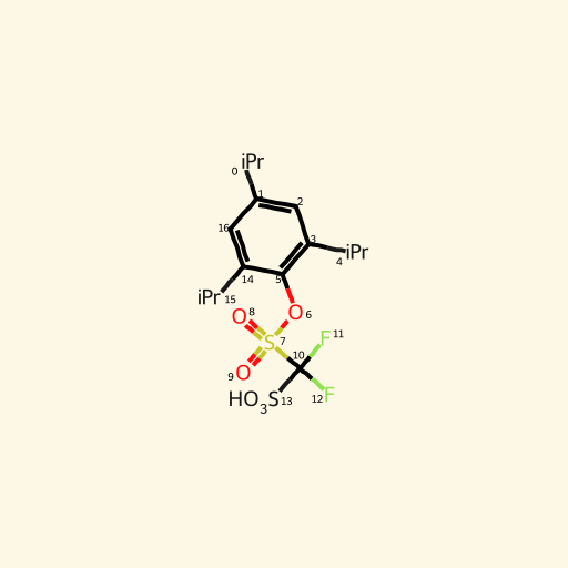 CC(C)c1cc(C(C)C)c(OS(=O)(=O)C(F)(F)S(=O)(=O)O)c(C(C)C)c1